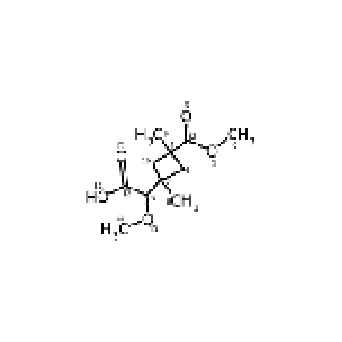 COC(=O)C1(C)CC(C)(C(OC)C(=O)O)C1